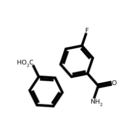 NC(=O)c1cccc(F)c1.O=C(O)c1ccccc1